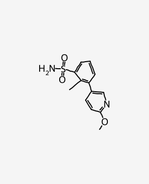 COc1ccc(-c2cccc(S(N)(=O)=O)c2C)cn1